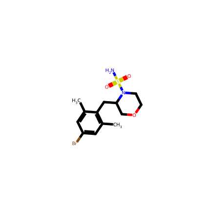 Cc1cc(Br)cc(C)c1CC1COCCN1S(N)(=O)=O